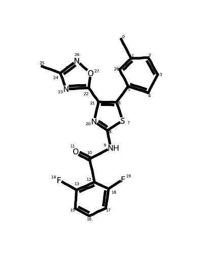 Cc1cccc(-c2sc(NC(=O)c3c(F)cccc3F)nc2-c2nc(C)no2)c1